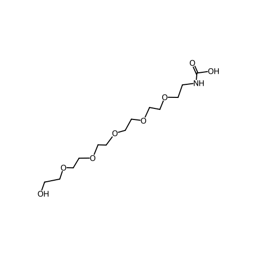 O=C(O)NCCOCCOCCOCCOCCOCCO